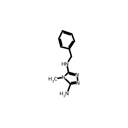 Cn1c(N)nnc1NCc1ccccc1